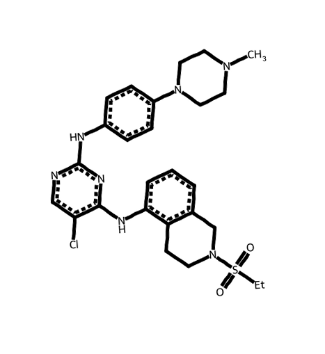 CCS(=O)(=O)N1CCc2c(cccc2Nc2nc(Nc3ccc(N4CCN(C)CC4)cc3)ncc2Cl)C1